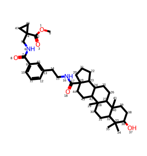 COC(=O)C1(CNC(=O)c2cccc(CCNC(=O)C34CCCC3C3CCC5C(C)(CCC6C(C)(C)C(O)CCC65C)C3CC4)c2)CC1